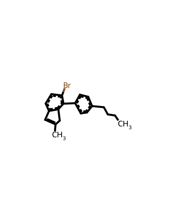 CCCCc1ccc(-c2c(Br)ccc3c2CC(C)=C3)cc1